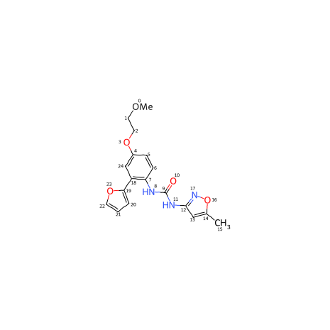 COCCOc1ccc(NC(=O)Nc2cc(C)on2)c(-c2ccco2)c1